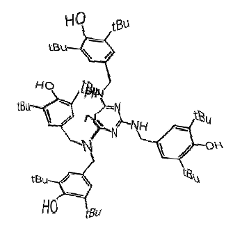 CC(C)(C)c1cc(CNc2nc(NCc3cc(C(C)(C)C)c(O)c(C(C)(C)C)c3)nc(N(Cc3cc(C(C)(C)C)c(O)c(C(C)(C)C)c3)Cc3cc(C(C)(C)C)c(O)c(C(C)(C)C)c3)n2)cc(C(C)(C)C)c1O